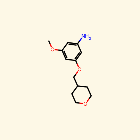 COc1cc(N)cc(OCC2CCOCC2)c1